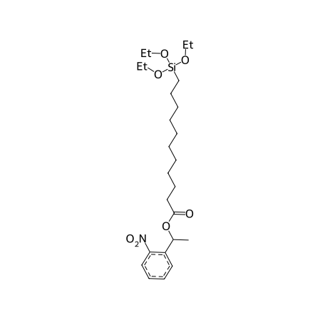 CCO[Si](CCCCCCCCCCC(=O)OC(C)c1ccccc1[N+](=O)[O-])(OCC)OCC